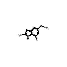 NCc1cc(Br)c2[nH]c(C(F)(F)F)cc2c1